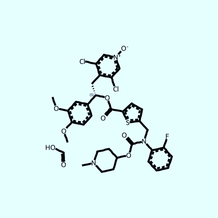 COc1ccc([C@H](Cc2c(Cl)c[n+]([O-])cc2Cl)OC(=O)c2ccc(CN(C(=O)OC3CCN(C)CC3)c3ccccc3F)s2)cc1OC.O=CO